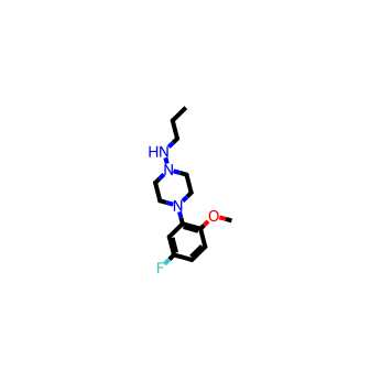 CCCNN1CCN(c2cc(F)ccc2OC)CC1